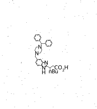 CCCCC(CC(=O)O)c1nc2cc(CN3CCN(C(c4ccccc4)c4ccccc4)CC3)ccc2[nH]1